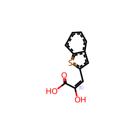 O=C(O)/C(O)=C\c1cc2ccccc2s1